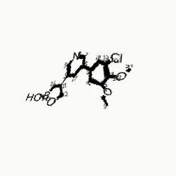 CCOc1cc(-c2cncc([C@H]3COB(O)C3)c2)cc(Cl)c1OC